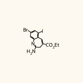 CCOC(=O)C1=Cc2c(I)cc(Br)cc2N=C(N)C1